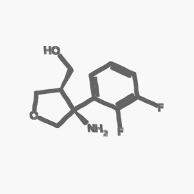 N[C@@]1(c2cccc(F)c2F)COC[C@H]1CO